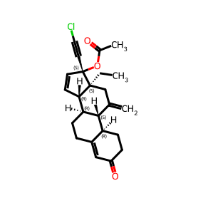 C=C1C[C@@]2(CC)[C@@H](C=C[C@]2(C#CCl)OC(C)=O)[C@@H]2CCC3=CC(=O)CC[C@@H]3[C@@H]12